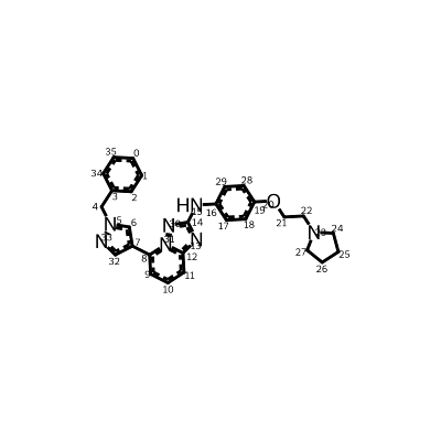 c1ccc(Cn2cc(-c3cccc4nc(Nc5ccc(OCCN6CCCC6)cc5)nn34)cn2)cc1